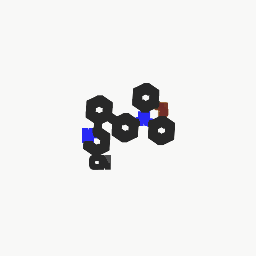 N#Cc1ccc(-c2ccccc2-c2cccc(N3c4ccccc4Sc4ccccc43)c2)nc1